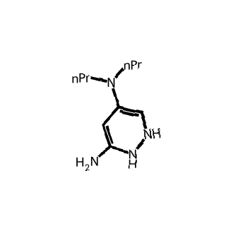 CCCN(CCC)C1=CNNC(N)=C1